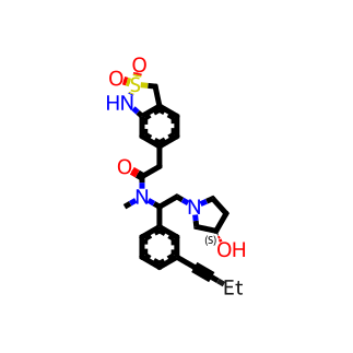 CCC#Cc1cccc(C(CN2CC[C@H](O)C2)N(C)C(=O)Cc2ccc3c(c2)NS(=O)(=O)C3)c1